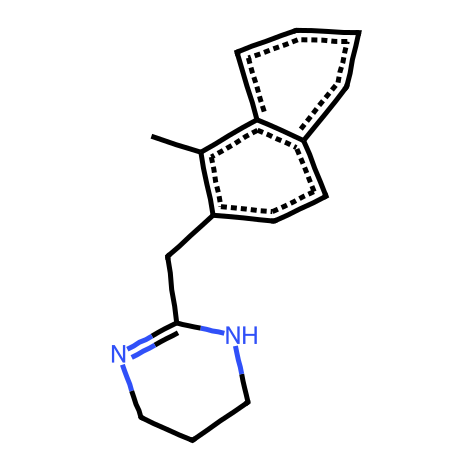 Cc1c(CC2=NCCCN2)ccc2ccccc12